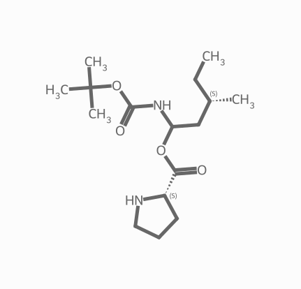 CC[C@H](C)CC(NC(=O)OC(C)(C)C)OC(=O)[C@@H]1CCCN1